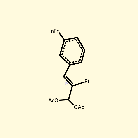 CCCc1cccc(/C=C(\CC)C(OC(C)=O)OC(C)=O)c1